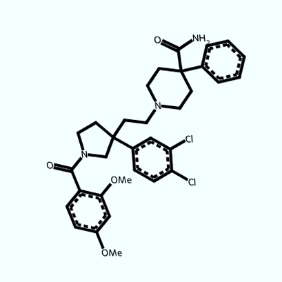 COc1ccc(C(=O)N2CCC(CCN3CCC(C(N)=O)(c4ccccc4)CC3)(c3ccc(Cl)c(Cl)c3)C2)c(OC)c1